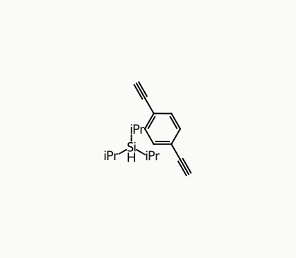 C#Cc1ccc(C#C)cc1.CC(C)[SiH](C(C)C)C(C)C